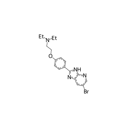 CCN(CC)CCOc1ccc(-c2nc3cc(Br)cnc3[nH]2)cc1